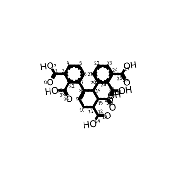 O=C(O)c1cccc(C2=CCC(C(=O)O)C(C(=O)O)C2c2cccc(C(=O)O)c2C(=O)O)c1C(=O)O